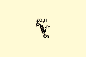 Cc1cc(CC(=O)O)cc(CN2CCN(c3ncc(-c4cccc(N(C)C)c4)cn3)[C@H](CC(C)C)C2)c1